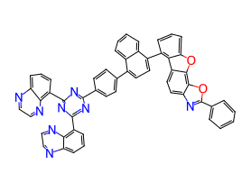 c1ccc(-c2nc3ccc4c(oc5cccc(-c6ccc(-c7ccc(-c8nc(-c9cccc%10nccnc9%10)nc(-c9cccc%10nccnc9%10)n8)cc7)c7ccccc67)c54)c3o2)cc1